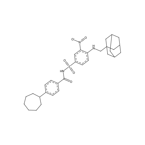 O=C(NS(=O)(=O)c1ccc(NCC23CC4CC(CC(C4)C2)C3)c([N+](=O)[O-])c1)c1ccc(C2CCCCCC2)cc1